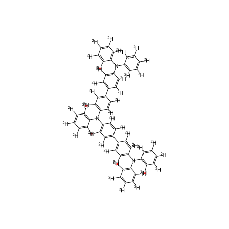 [2H]c1c([2H])c([2H])c(N(c2c([2H])c([2H])c([2H])c([2H])c2[2H])c2c([2H])c([2H])c(-c3c([2H])c([2H])c(N(c4c([2H])c([2H])c([2H])c([2H])c4[2H])c4c([2H])c([2H])c(-c5c([2H])c([2H])c(N(c6c([2H])c([2H])c([2H])c([2H])c6[2H])c6c([2H])c([2H])c([2H])c([2H])c6[2H])c([2H])c5[2H])c([2H])c4[2H])c([2H])c3[2H])c([2H])c2[2H])c([2H])c1[2H]